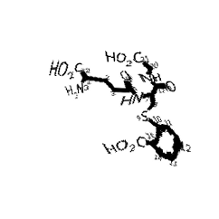 NC(CCC(=O)NC(CSc1ccccc1C(=O)O)C(=O)NCC(=O)O)C(=O)O